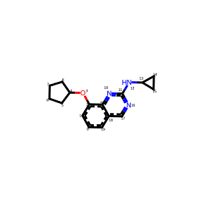 c1cc(OC2CCCC2)c2nc(NC3CC3)ncc2c1